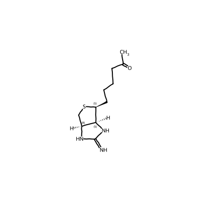 CC(=O)CCCC[C@@H]1SC[C@@H]2NC(=N)N[C@@H]21